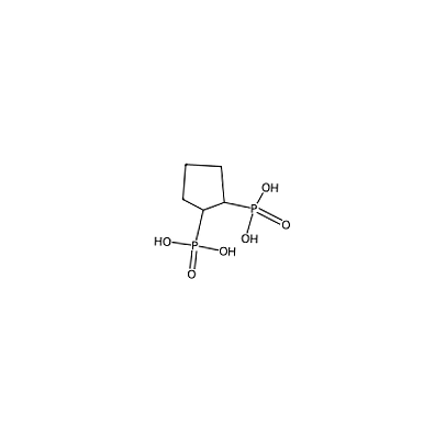 O=P(O)(O)C1CCCC1P(=O)(O)O